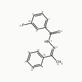 CC(=NNC(=O)c1cccc(F)c1)c1cccnc1